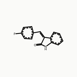 O=C1Nc2ccccc2/C1=C/c1ccc(F)cc1